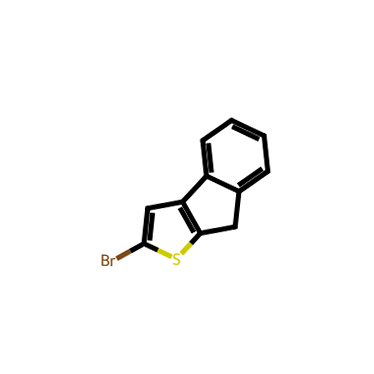 Brc1cc2c(s1)Cc1ccccc1-2